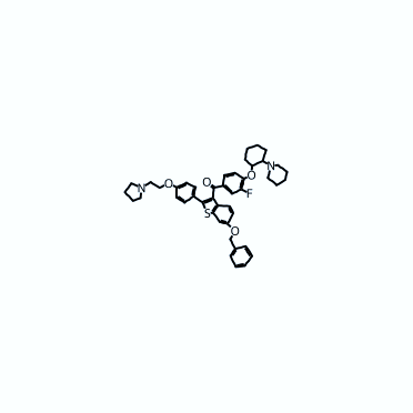 O=C(c1ccc(OC2CCCCC2N2CCCCC2)c(F)c1)c1c(-c2ccc(OCCN3CCCC3)cc2)sc2cc(OCc3ccccc3)ccc12